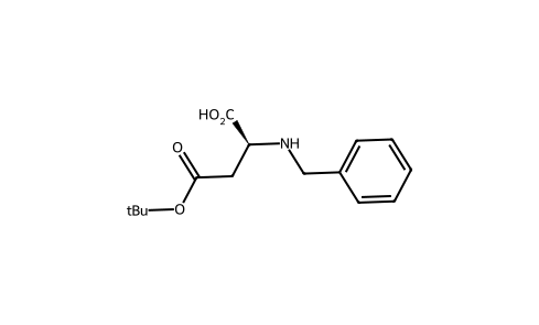 CC(C)(C)OC(=O)C[C@H](NCc1ccccc1)C(=O)O